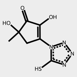 CC1(O)CC(n2nnnc2S)=C(O)C1=O